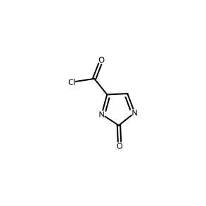 O=C1N=CC(C(=O)Cl)=N1